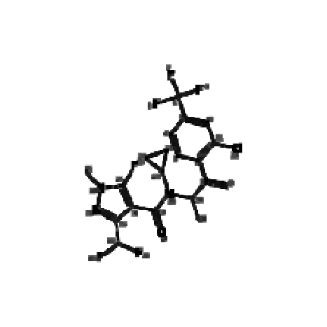 C=C(c1ccc(C(F)(F)F)cc1Cl)C(C)N(C(=O)c1c(C(F)F)nn(C)c1F)C1CC1